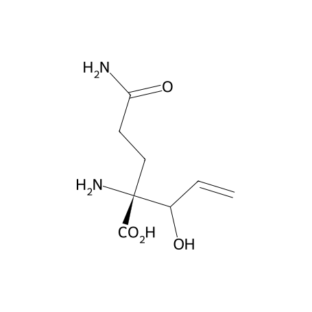 C=CC(O)[C@](N)(CCC(N)=O)C(=O)O